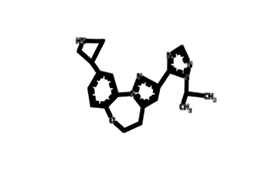 CC(C)n1ncnc1-c1cc2n(n1)-c1cc(C3CNC3)ccc1OCC2